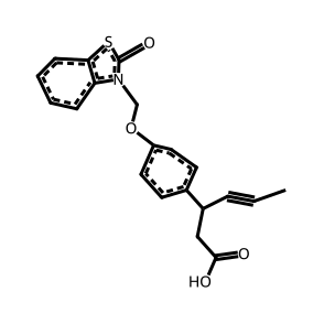 CC#CC(CC(=O)O)c1ccc(OCn2c(=O)sc3ccccc32)cc1